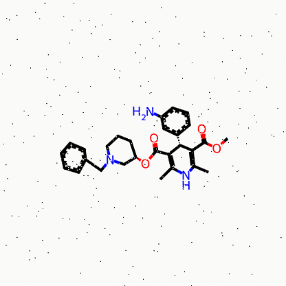 COC(=O)C1=C(C)NC(C)=C(C(=O)O[C@@H]2CCCN(Cc3ccccc3)C2)[C@@H]1c1cccc(N)c1